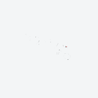 CC(=O)[C@H](C)OC(=O)CCC(=O)OC1=CC[C@@]2(O)[C@H]3Cc4ccc(O)c5c4[C@@]2(CCN3C)[C@H]1O5